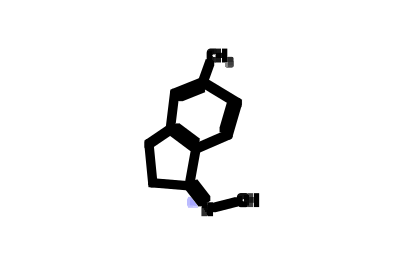 Cc1ccc2c(c1)CC/C2=N/O